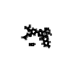 C[C@H](N)c1oc(-c2ccc(OC(F)F)c(OCC3CC3)c2)nc1C(=O)Nc1ccc(F)cc1F.Cl